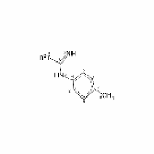 CCCC(=N)Nc1ccc(C)cc1